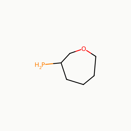 PC1CCCCOC1